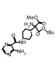 COC(=O)[C@](N)(C(=O)OC(C)(C)C)[C@H]1CC[C@H](NC(=O)c2nccnc2N)CC1